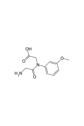 COc1cccc(N(CC(=O)O)C(=O)CN)c1